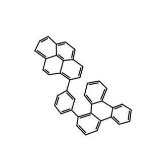 c1cc(-c2ccc3ccc4cccc5ccc2c3c45)cc(-c2cccc3c4ccccc4c4ccccc4c23)c1